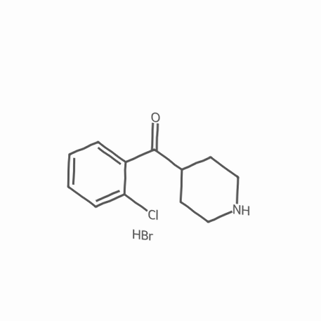 Br.O=C(c1ccccc1Cl)C1CCNCC1